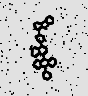 c1ccc(-c2c3ccccc3c(-c3ccc(-c4ccc(-c5cccc6c5sc5ccccc56)cc4)c4ccccc34)c3ccccc23)cc1